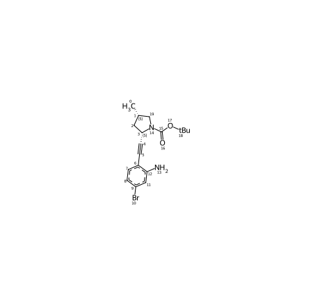 C[C@H]1C[C@@H](C#Cc2ccc(Br)cc2N)N(C(=O)OC(C)(C)C)C1